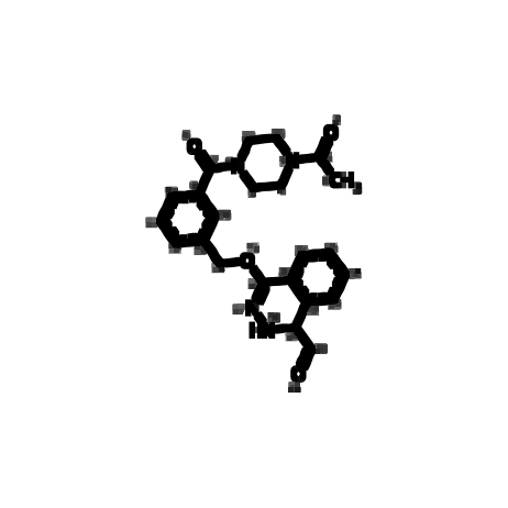 CC(=O)N1CCN(C(=O)c2cccc(COC3=NNC(C=O)c4ccccc43)c2)CC1